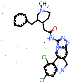 CN1CCC(CC(=O)Nc2nnc3cc(CN)c(-c4ccc(Cl)cc4Cl)cn23)C(Cc2ccccc2)C1